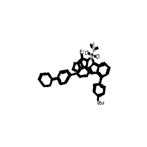 CCC1=Cc2c(-c3ccc(C4CCCCC4)cc3)cccc2[CH]1[Zr]([Cl])([Cl])([CH]1C(C2CCCC2)=Cc2c(-c3ccc(C(C)(C)C)cc3)cccc21)[SiH](C)C